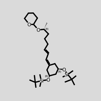 C[C@H](CCCC=CC=C1C[C@@H](O[Si](C)(C)C(C)(C)C)C[C@H](O[Si](C)(C)C(C)(C)C)C1)OC1CCCCO1